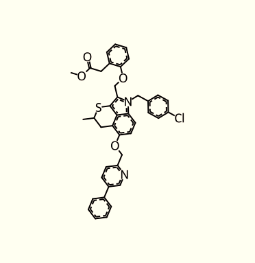 COC(=O)Cc1ccccc1OCc1c2c3c(c(OCc4ccc(-c5ccccc5)cn4)ccc3n1Cc1ccc(Cl)cc1)CC(C)S2